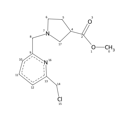 COC(=O)C1CCN(Cc2cccc(CCl)n2)C1